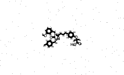 COc1cccc(Cn2c(CCCc3ccc(OC(C)(C)C(=O)O)cc3)nn(Cc3ccc(C)cc3)c2=O)c1